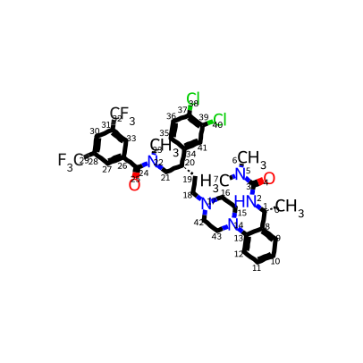 C[C@@H](NC(=O)N(C)C)c1ccccc1N1CCN(CC[C@H](CN(C)C(=O)c2cc(C(F)(F)F)cc(C(F)(F)F)c2)c2ccc(Cl)c(Cl)c2)CC1